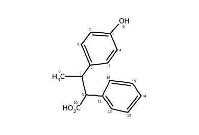 CC(c1ccc(O)cc1)C(C(=O)O)c1ccccc1